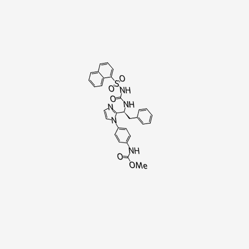 COC(=O)Nc1ccc(-n2ccnc2[C@H](Cc2ccccc2)NC(=O)NS(=O)(=O)c2cccc3ccccc23)cc1